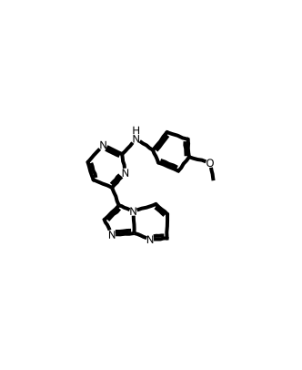 COc1ccc(Nc2nccc(-c3cnc4ncccn34)n2)cc1